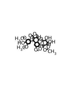 COc1cc([C@@H]2c3cc4c(cc3[C@@H](O[C@@H]3O[C@@H]5COC(C)O[C@H]5[C@H](O)[C@@H]3O)[C@H]3COC(=O)[C@H]23)OCO4)cc(OC)c1O